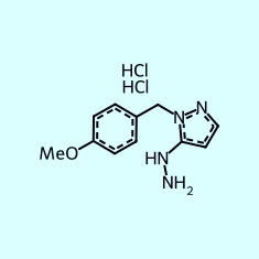 COc1ccc(Cn2nccc2NN)cc1.Cl.Cl